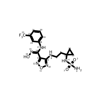 NS(=O)(=O)NC1(CCNc2nonc2C(=NO)Nc2cccc(C(F)(F)F)c2)CC1